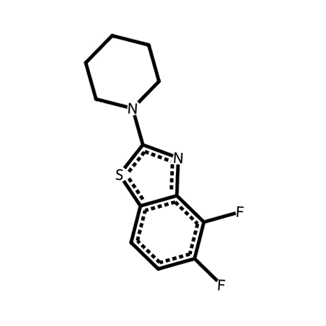 Fc1ccc2sc(N3CCCCC3)nc2c1F